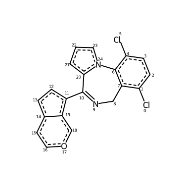 Clc1ccc(Cl)c2c1CN=C(c1ccc3ccocc1-3)c1cccn1-2